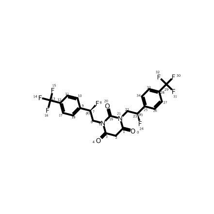 O=C1CC(=O)N(C[C@H](F)c2ccc(C(F)(F)F)cc2)C(=O)N1C[C@H](F)c1ccc(C(F)(F)F)cc1